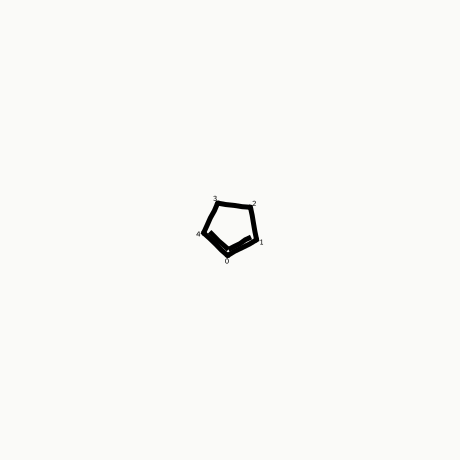 C1=CCCC=1